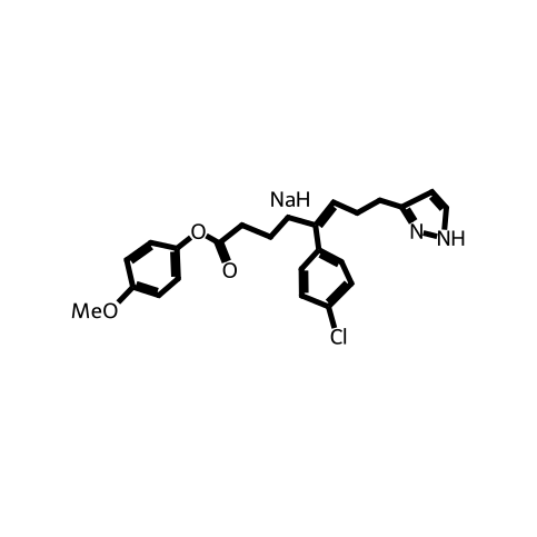 COc1ccc(OC(=O)CCC/C(=C/CCc2cc[nH]n2)c2ccc(Cl)cc2)cc1.[NaH]